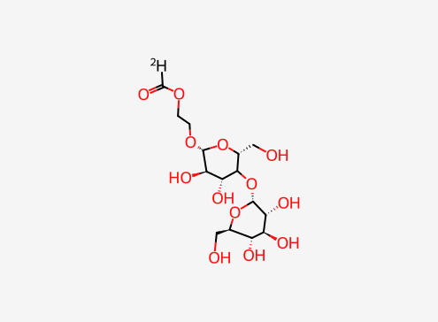 [2H]C(=O)OCCO[C@@H]1O[C@H](CO)C(O[C@H]2O[C@H](CO)[C@@H](O)[C@H](O)[C@H]2O)[C@H](O)[C@H]1O